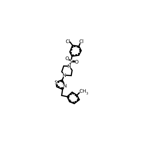 Cc1cccc(Cc2csc(N3CCN(S(=O)(=O)c4ccc(Cl)c(Cl)c4)CC3)n2)c1